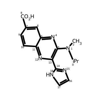 CC(C)N(C)c1nc2cc(C(=O)O)ccc2nc1-c1ncc[nH]1